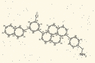 NCc1ccc(-c2ccc3ccc4c(-c5cc(Cl)cc(-c6ccc7ccccc7c6)c5)ccc5ccc2c3c54)cc1